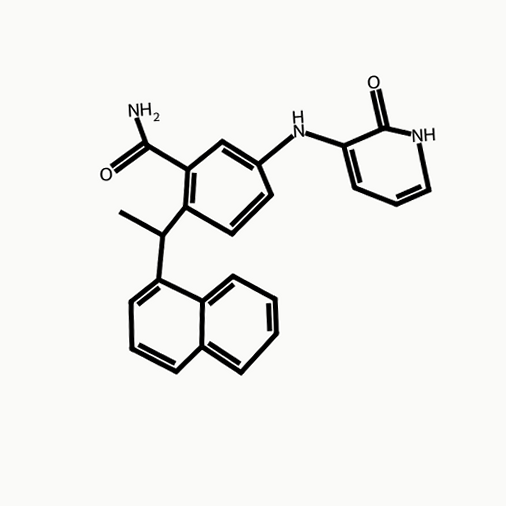 CC(c1ccc(Nc2ccc[nH]c2=O)cc1C(N)=O)c1cccc2ccccc12